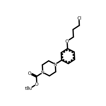 CC(C)(C)OC(=O)N1CCN(c2cccc(OCCCCl)c2)CC1